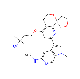 Cn1cc(-c2cc(OCCC(C)(C)N)c3c(n2)C2(CCOC2)OCC3)c2cc(NC=O)ncc21